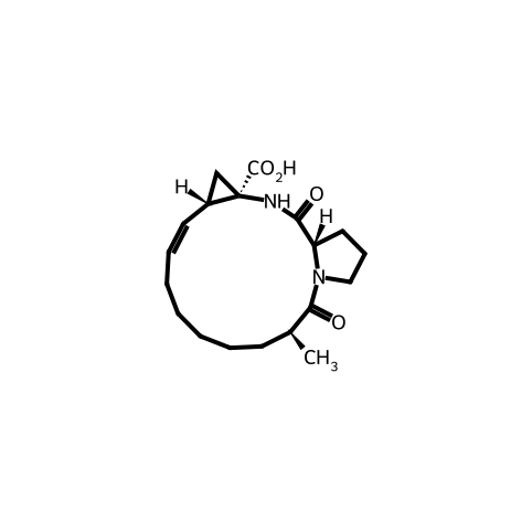 C[C@H]1CCCCC/C=C\[C@@H]2C[C@@]2(C(=O)O)NC(=O)[C@@H]2CCCN2C1=O